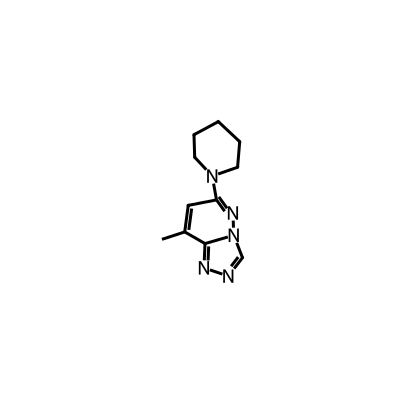 Cc1cc(N2CCCCC2)nn2cnnc12